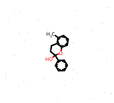 Cc1cccc2c1CCC(O)(c1ccccc1)O2